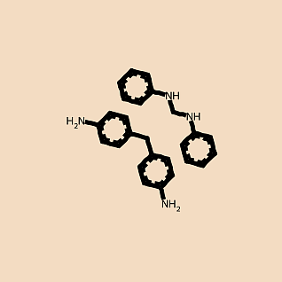 Nc1ccc(Cc2ccc(N)cc2)cc1.c1ccc(NCNc2ccccc2)cc1